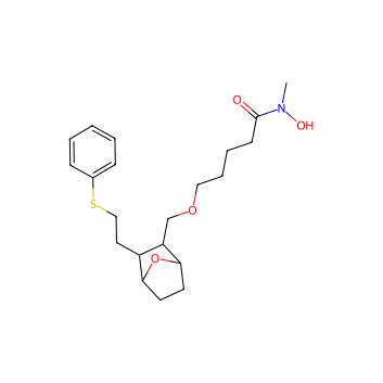 CN(O)C(=O)CCCCOCC1C2CCC(O2)C1CCSc1ccccc1